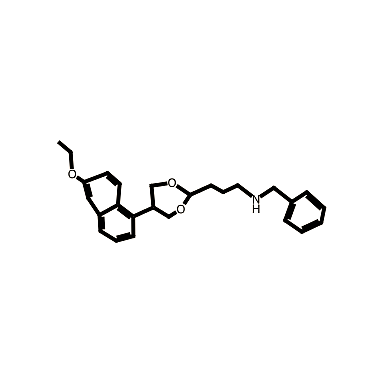 CCOc1ccc2c(C3COC(CCCNCc4ccccc4)OC3)cccc2c1